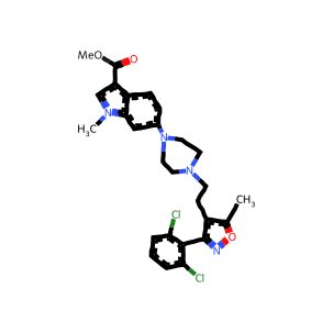 COC(=O)c1cn(C)c2cc(N3CCN(CCc4c(-c5c(Cl)cccc5Cl)noc4C)CC3)ccc12